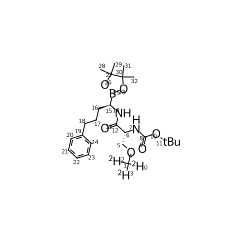 [2H]C([2H])([2H])OC[C@@H](NC(=O)OC(C)(C)C)C(=O)N[C@@H](CCCc1ccccc1)B1OC(C)(C)C(C)(C)O1